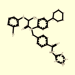 CC(Oc1cccc(Cl)c1)C(=O)N(Cc1ccc(C(=O)Nc2nn[nH]n2)cc1)c1ccc(C2CCCCC2)cc1